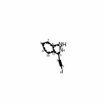 IC#Cc1n[nH]c2ccccc12